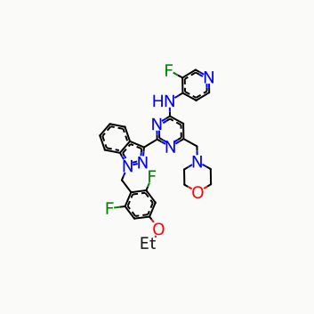 CCOc1cc(F)c(Cn2nc(-c3nc(CN4CCOCC4)cc(Nc4ccncc4F)n3)c3ccccc32)c(F)c1